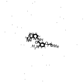 COCCOc1ccc(N)c(C(=O)Nc2cccc(-c3nncn3C(C)C)n2)c1